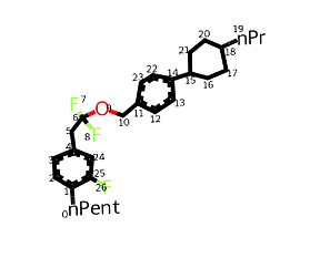 CCCCCc1ccc(CC(F)(F)OCc2ccc(C3CCC(CCC)CC3)cc2)cc1F